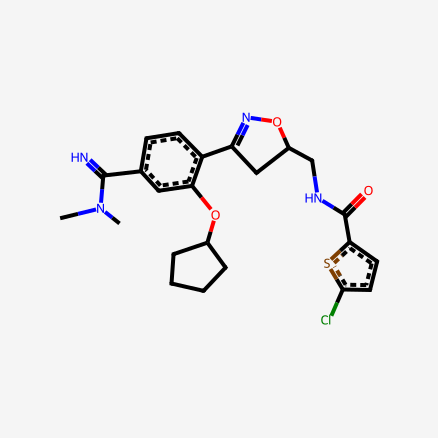 CN(C)C(=N)c1ccc(C2=NOC(CNC(=O)c3ccc(Cl)s3)C2)c(OC2CCCC2)c1